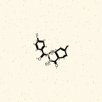 CCN(C(=O)c1ccc(C)cc1)N(C(=O)c1ccc(F)cc1)C(C)(C)C